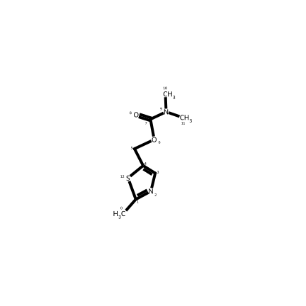 Cc1ncc(COC(=O)N(C)C)s1